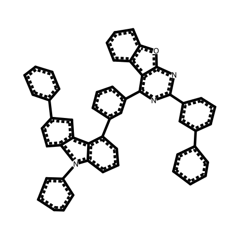 c1ccc(-c2cccc(-c3nc(-c4cccc(-c5cccc6c5c5cc(-c7ccccc7)ccc5n6-c5ccccc5)c4)c4c(n3)oc3ccccc34)c2)cc1